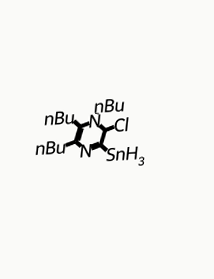 CCCCC1=C(CCCC)N(CCCC)C(Cl)[C]([SnH3])=N1